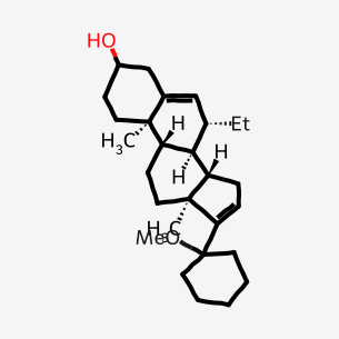 CC[C@H]1C=C2CC(O)CC[C@]2(C)[C@H]2CC[C@]3(C)C(C4(OC)CCCCC4)=CC[C@H]3[C@H]12